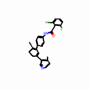 CC1=C(c2ccc(NC(=O)c3c(F)cccc3F)cc2)C=C(c2cnccc2C)CC1